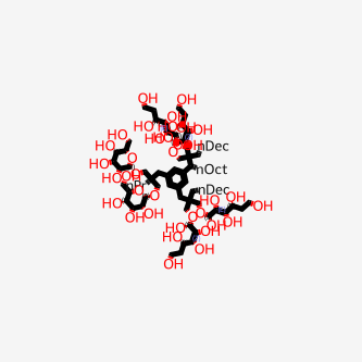 CCCCCCCCCCCC(CO[C@H](O)/C(O)=C(/O)[C@H](O)CCO)(CO[C@H](O)/C(O)=C(\O)[C@H](O)CCO)Cc1cc(CC(CCC)(CO[C@@H]2OC(CO)[C@@H](O)C(O)C2O)CO[C@@H]2OC(CO)[C@@H](O)C(O)C2O)cc(C(CCCCCCCC)C(CCCCCCCCCCC)(CO[C@H](O)/C(O)=C(/O)[C@H](O)CCO)CO[C@H](O)/C(O)=C(\O)[C@H](O)CCO)c1